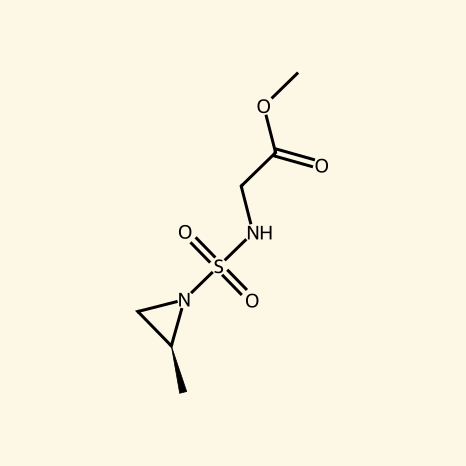 COC(=O)CNS(=O)(=O)N1C[C@@H]1C